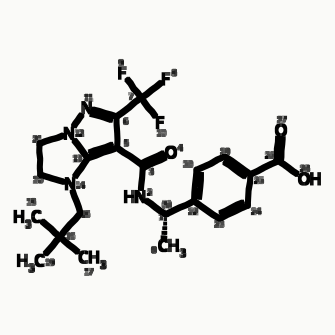 C[C@H](NC(=O)c1c(C(F)(F)F)nn2c1N(CC(C)(C)C)CC2)c1ccc(C(=O)O)cc1